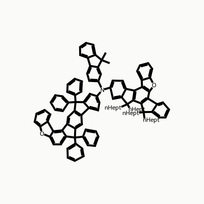 CCCCCCCC1(CCCCCCC)c2ccccc2-c2c1c1c(c3c2oc2ccccc23)-c2ccc(N(c3ccc4c(c3)C(C)(C)c3ccccc3-4)c3ccc4c(c3)C(c3ccccc3)(c3ccccc3)c3cc5c(cc3-4)C(c3ccccc3)(c3ccccc3)c3ccc4oc6ccccc6c4c3-5)cc2C1(CCCCCCC)CCCCCCC